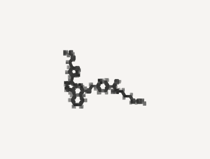 COCCCNC(=O)c1ccc(COc2nn3c(-c4cc(COC)on4)nnc3c3ccccc23)nc1